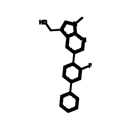 Cn1cc(CO)c2cc(-c3ccc(-c4ccccc4)cc3F)cnc21